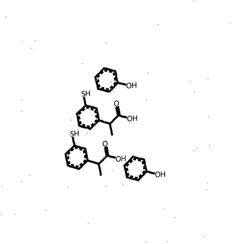 CC(C(=O)O)c1cccc(S)c1.CC(C(=O)O)c1cccc(S)c1.Oc1ccccc1.Oc1ccccc1